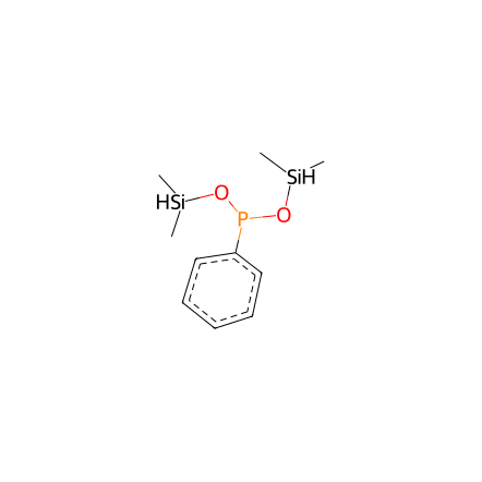 C[SiH](C)OP(O[SiH](C)C)c1ccccc1